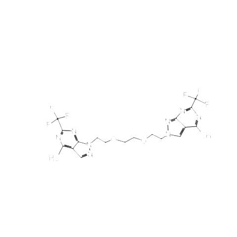 FC(F)(F)c1nc(S)c2cn(CCOCCOCCn3ncc4c(S)nc(C(F)(F)F)nc43)nc2n1